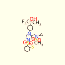 CC(O)(c1ccc(N2CCN(S(=O)(=O)C3=CC=CCC3=S)C[C@@H]2CN(C2CC2)S(C)(=O)=O)cc1)C(F)(F)F